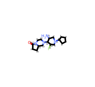 NC1CN(C2CCCC2)CC(F)C1N1CCN2C(=O)CCC2C1